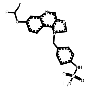 NS(=O)(=O)Nc1ccc(Cn2cnc3cnc4cc(OC(F)F)ccc4c32)cc1